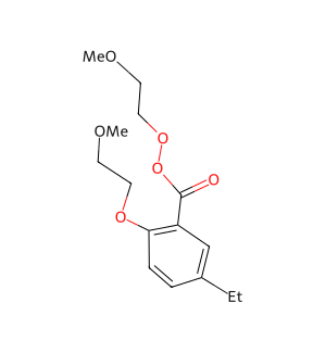 CCc1ccc(OCCOC)c(C(=O)OOCCOC)c1